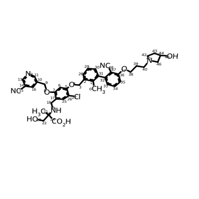 Cc1c(COc2cc(OCc3cncc(C#N)c3)c(CNC(C)(CO)C(=O)O)cc2Cl)cccc1-c1cccc(OCCCN2CCC(O)C2)c1C#N